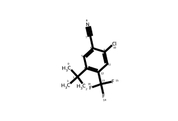 CC(C)(C)c1cc(C#N)c(Cl)cc1C(F)(F)F